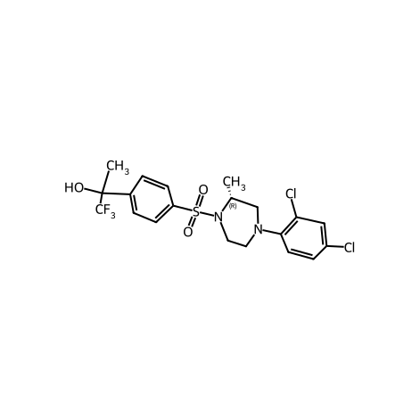 C[C@@H]1CN(c2ccc(Cl)cc2Cl)CCN1S(=O)(=O)c1ccc(C(C)(O)C(F)(F)F)cc1